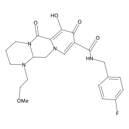 COCCN1CCCN2C(=O)c3c(O)c(=O)c(C(=O)NCc4ccc(F)cc4)cn3CC12